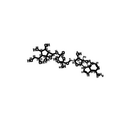 C[C@@]1(O)[C@H](O)[C@@H](COP(=O)(S)OP(=O)(O)OC2OC3(O)C2C(O)C(O)C3[C@@H](O)CO)O[C@H]1n1cnc2c(N)ncnc21